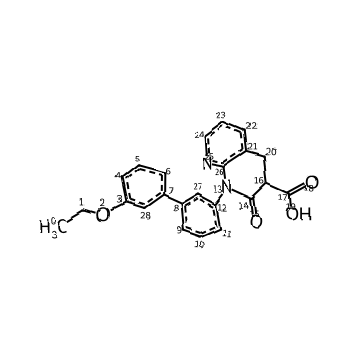 CCOc1cccc(-c2cccc(N3C(=O)C(C(=O)O)Cc4cccnc43)c2)c1